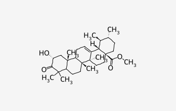 COC(=O)[C@]12CC[C@@H](C)[C@H](C)[C@H]1C1=CCC3[C@@]4(C)C[C@@H](O)C(=O)C(C)(C)C4CC[C@@]3(C)[C@]1(C)CC2